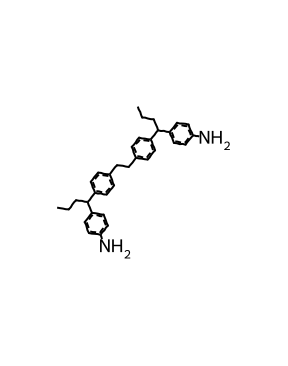 CCCC(c1ccc(N)cc1)c1ccc(CCc2ccc(C(CCC)c3ccc(N)cc3)cc2)cc1